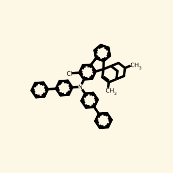 CC1=CC2(c3ccccc3-c3cc(Cl)c(N(c4ccc(-c5ccccc5)cc4)c4ccc(-c5ccccc5)cc4)cc32)C2CC(C)CC1C2